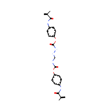 C=C(C)C(=O)Nc1ccc(OC(=O)NCNNC(=O)Oc2ccc(NC(=O)C(=C)C)cc2)cc1